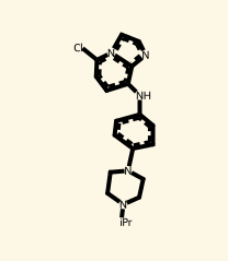 CC(C)N1CCN(c2ccc(Nc3ccc(Cl)n4ccnc34)cc2)CC1